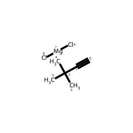 [C]#CC(C)(C)C.[Cl][Mg][Cl]